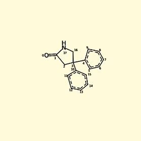 O=C1CC(c2ccccc2)(c2ccccc2)CN1